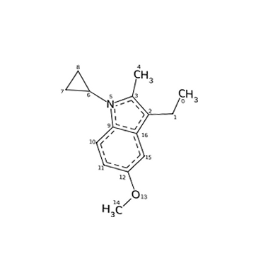 CCc1c(C)n(C2CC2)c2ccc(OC)cc12